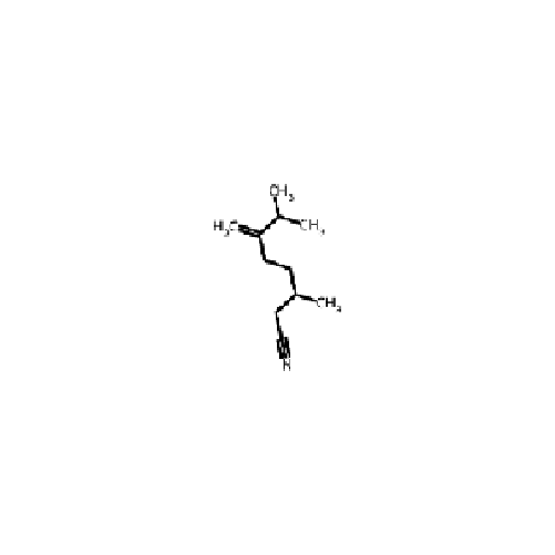 C=C(CCC(C)CC#N)C(C)C